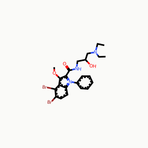 CCN(CC)CC(O)CNC(=O)c1c(OC)c2c(Br)c(Br)ccc2n1-c1ccccc1